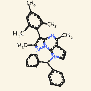 Cc1cc(C)c(-c2c(C)nn3c2nc(C)c2ccn(C(c4ccccc4)c4ccccc4)c23)c(C)c1